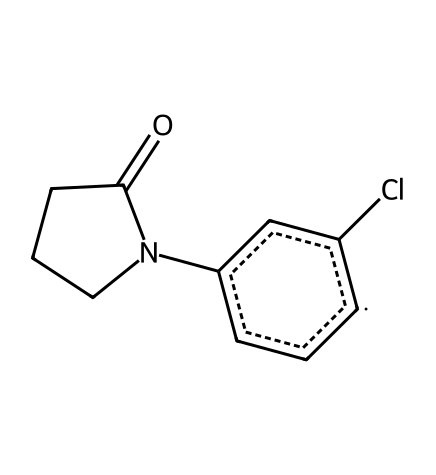 O=C1CCCN1c1cc[c]c(Cl)c1